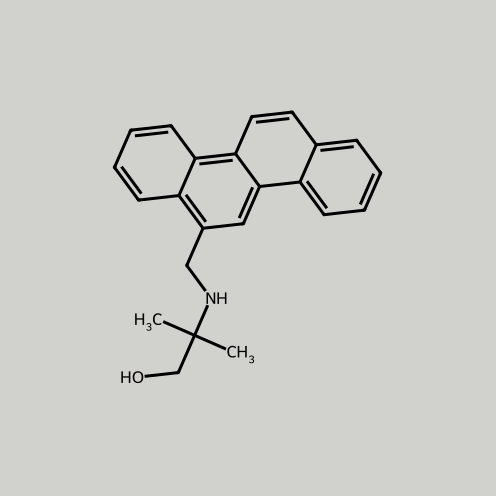 CC(C)(CO)NCc1cc2c3ccccc3ccc2c2ccccc12